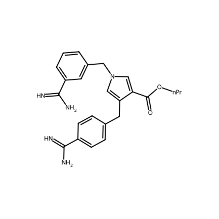 CCCOC(=O)c1cn(Cc2cccc(C(=N)N)c2)cc1Cc1ccc(C(=N)N)cc1